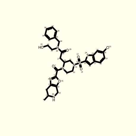 CC1Cc2nc(C(=O)N3CCN(S(=O)(=O)c4cc5ccc(Cl)cc5s4)CC3CC(=O)N(CCO)Cc3ccccc3)oc2CN1